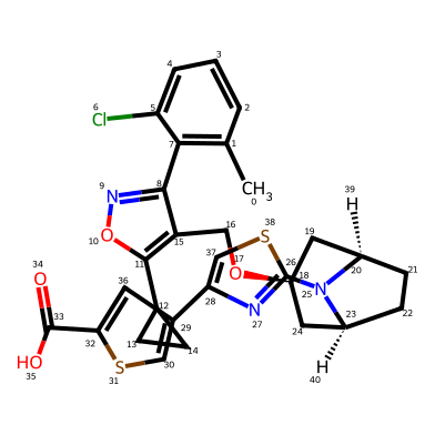 Cc1cccc(Cl)c1-c1noc(C2CC2)c1CO[C@H]1C[C@H]2CC[C@@H](C1)N2c1nc(-c2csc(C(=O)O)c2)cs1